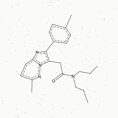 CCCN(CCC)C(=O)Cc1c(-c2ccc(C)cc2)nc2ccc(C)nn12